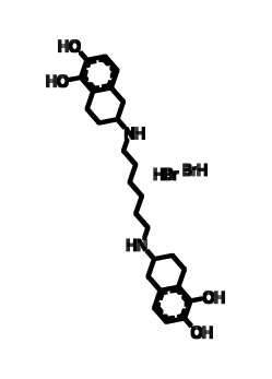 Br.Br.Oc1ccc2c(c1O)CCC(NCCCCCCNC1CCc3c(ccc(O)c3O)C1)C2